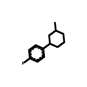 CC1CCCC(c2ccc(F)cc2)C1